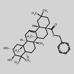 CC1(C)CC[C@]2(C(=O)OCc3ccccc3)CC[C@]3(C)C(=CC[C@@H]4[C@@]5(C)C[C@@H](O)[C@H](O)C(C)(C)[C@@H]5CC[C@]43C)[C@@H]2C1